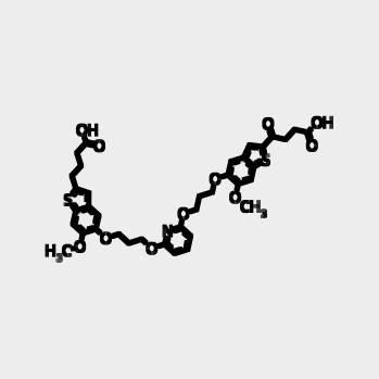 COc1cc2sc(CCCC(=O)O)cc2cc1OCCCOc1cccc(OCCCOc2cc3cc(C(=O)CCC(=O)O)sc3cc2OC)n1